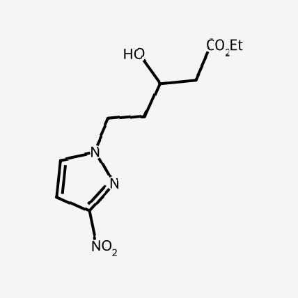 CCOC(=O)CC(O)CCn1ccc([N+](=O)[O-])n1